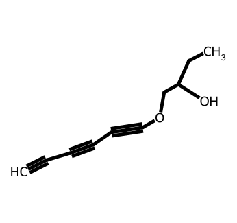 C#CC#CC#COCC(O)CC